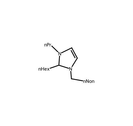 CCCCCCCCCCN1C=CN(CCC)C1CCCCCC